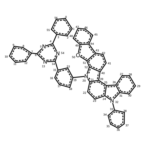 c1ccc(-c2nc(-c3ccccc3)nc(-c3cccc(-n4c5ccc6c(c7ccccc7n6-c6ccccc6)c5c5ccc6c7ccccc7oc6c54)c3)n2)cc1